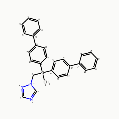 C[Si](Cn1cncn1)(c1ccc(-c2ccccc2)cc1)c1ccc(-c2ccccc2)cc1